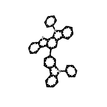 c1ccc(-n2c3ccccc3c3ccc(-c4cc5c6ccccc6n(-c6ccccc6)c5c5sc6ccccc6c45)cc32)cc1